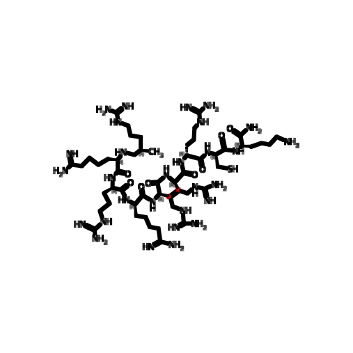 C[C@H](CCCNC(=N)N)CN[C@H](CCCCC(=N)N)C(=O)N[C@H](CCCNC(=N)N)C(=O)N[C@H](CCCCC(=N)N)C(=O)N[C@H](CCCNC(=N)N)C(=O)N[C@H](CCCNC(=N)N)C(=O)N[C@H](CCCNC(=N)N)C(=O)N[C@H](CS)C(=O)N[C@H](CCCCN)C(N)=O